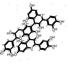 Oc1cc(O)c2c(c1)OC(c1ccc(O)c(O)c1)C(O)C2c1c(O)c2c(c(C3c4c(O)cc(O)cc4OC(c4ccc(O)c(O)c4)C3O)c1O)OC(c1ccc(O)c(O)c1)C(O)C2